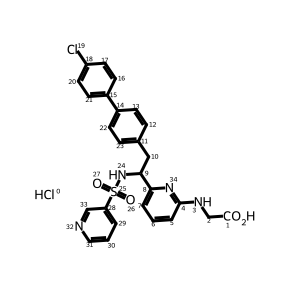 Cl.O=C(O)CNc1cccc(C(Cc2ccc(-c3ccc(Cl)cc3)cc2)NS(=O)(=O)c2cccnc2)n1